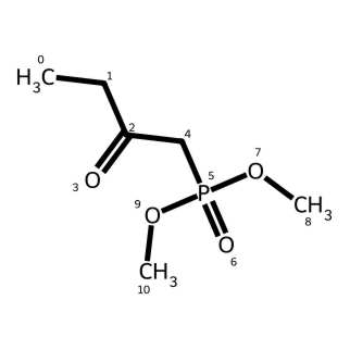 CCC(=O)CP(=O)(OC)OC